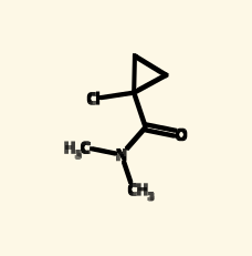 CN(C)C(=O)C1(Cl)CC1